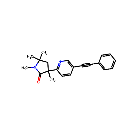 CN1C(=O)C(C)(c2ccc(C#Cc3ccccc3)cn2)CC1(C)C